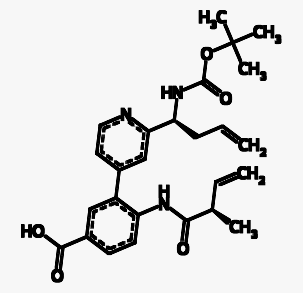 C=CC[C@H](NC(=O)OC(C)(C)C)c1cc(-c2cc(C(=O)O)ccc2NC(=O)[C@H](C)C=C)ccn1